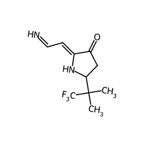 CC(C)(C1CC(=O)/C(=C/C=N)N1)C(F)(F)F